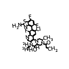 [2H]C([2H])([2H])N1C(=O)[C@H]2CN(C(=O)C=C)[C@H](C)CN2c2c1cnc1c(F)c(-c3c(F)cc(F)c4sc(N)nc34)c(Cl)cc21